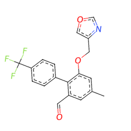 Cc1cc(C=O)c(-c2ccc(C(F)(F)F)cc2)c(OCc2cocn2)c1